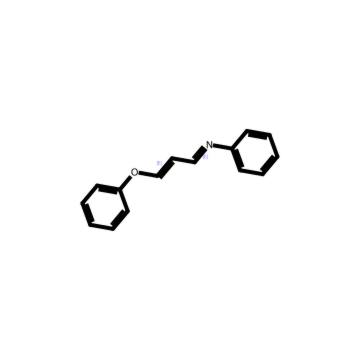 C(=C\Oc1ccccc1)/C=N/c1ccccc1